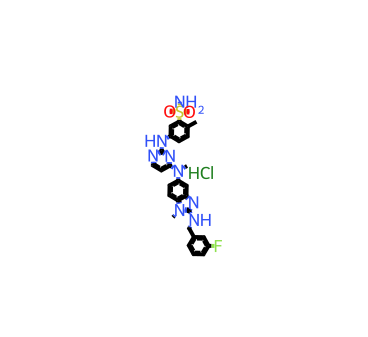 Cc1ccc(Nc2nccc(N(C)c3ccc4c(c3)nc(NCc3cccc(F)c3)n4C)n2)cc1S(N)(=O)=O.Cl